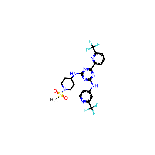 CS(=O)(=O)N1CCC(Nc2nc(Nc3ccnc(C(F)(F)F)c3)nc(-c3cccc(C(F)(F)F)n3)n2)CC1